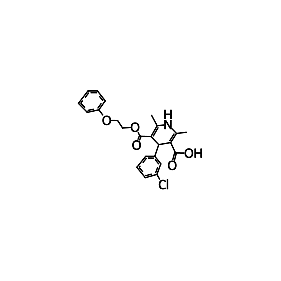 CC1=C(C(=O)O)C(c2cccc(Cl)c2)C(C(=O)OCCOc2ccccc2)=C(C)N1